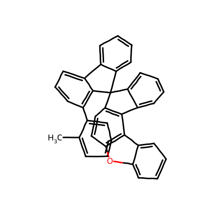 Cc1ccccc1-c1cccc2c1C1(c3ccccc3-2)c2ccccc2-c2c1ccc1oc3ccccc3c21